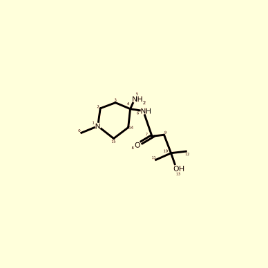 CN1CCC(N)(NC(=O)CC(C)(C)O)CC1